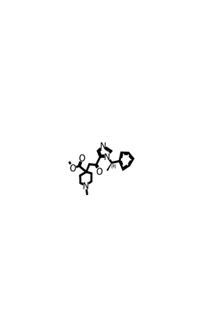 COC(=O)C1(CC(=O)c2cncn2[C@H](C)c2ccccc2)CCN(C)CC1